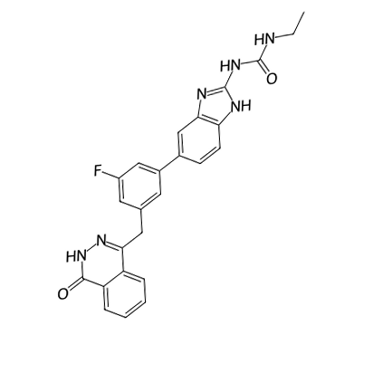 CCNC(=O)Nc1nc2cc(-c3cc(F)cc(Cc4n[nH]c(=O)c5ccccc45)c3)ccc2[nH]1